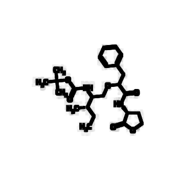 CC[C@H](C)C(COC(Cc1ccccc1)C(=O)N[C@H]1CCOC1=O)NC(=O)OC(C)(C)C